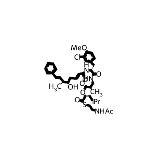 COc1ccc(C[C@@H](NC(=O)/C=C/C[C@H](O)[C@H](C)/C=C/c2ccccc2)C(=O)NC[C@@H](C)C(=O)O[C@@H](CC(C)C)C(=O)SCCNC(C)=O)cc1Cl